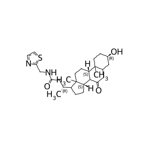 C[C@H](CC(=O)NCc1nccs1)C1CC[C@H]2C3C(=O)CC4C[C@H](O)CCC4(C)[C@H]3CCC12C